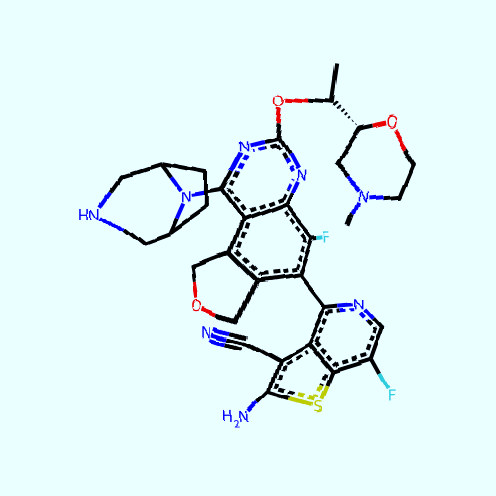 CC(Oc1nc(N2C3CCC2CNC3)c2c3c(c(-c4ncc(F)c5sc(N)c(C#N)c45)c(F)c2n1)COC3)[C@H]1CN(C)CCO1